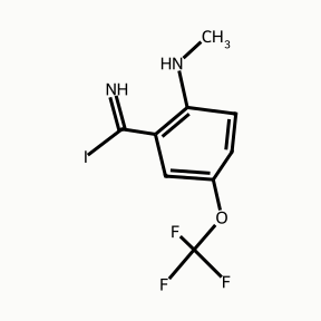 CNc1ccc(OC(F)(F)F)cc1C(=N)I